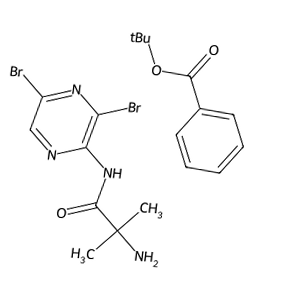 CC(C)(C)OC(=O)c1ccccc1.CC(C)(N)C(=O)Nc1ncc(Br)nc1Br